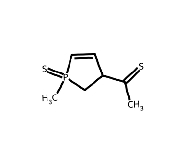 CC(=S)C1C=CP(C)(=S)C1